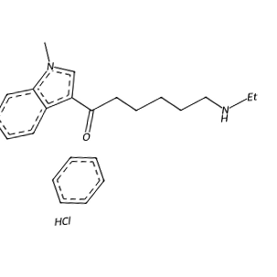 CCNCCCCCC(=O)c1cn(C)c2ccccc12.Cl.c1ccccc1